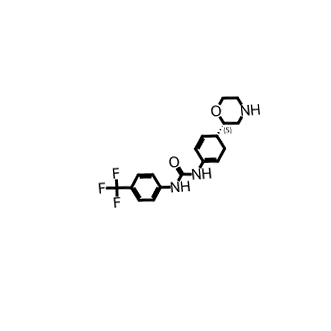 O=C(NC1=CCC([C@H]2CNCCO2)C=C1)Nc1ccc(C(F)(F)F)cc1